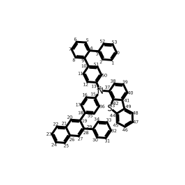 c1ccc(-c2ccccc2-c2ccc(N(c3ccc(-c4cc5ccccc5cc4-c4ccccc4)cc3)c3cccc4c3sc3ccccc34)cc2)cc1